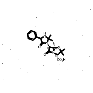 CC1(C)S[C@@H]2[C@H](N3C(=O)C(c4ccccc4)NC3(C)C)C(=O)N2[C@H]1C(=O)O